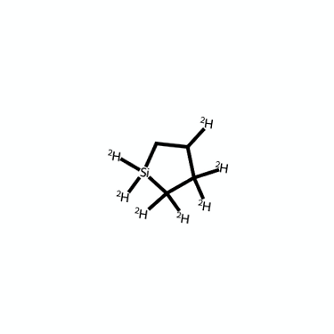 [2H]C1C[Si]([2H])([2H])C([2H])([2H])C1([2H])[2H]